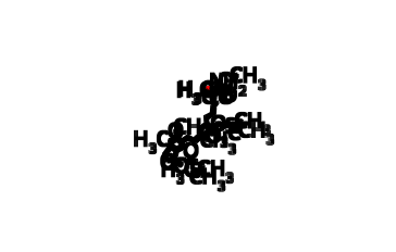 CCOC(=O)C(C)(N)P(=O)(CC=CCC(CC(C)=CCc1c(OC)c(C)c2c(c1OCC[Si](C)(C)C)C(=O)OC2)C(=O)OCC[Si](C)(C)C)OC